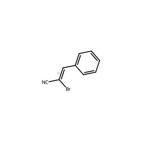 N#C/C(Br)=C/c1ccccc1